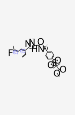 C=C/C(=C\C=C(/C)F)c1cc(C(=O)N[C@H](C)c2ccc(S(=O)(=O)C(C)(C)C(=O)OC)cc2)n(C)n1